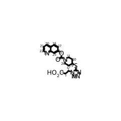 O=C(O)CCn1nnnc1SC1CCN(C(=O)Oc2ccc3cccnc3c2)CC1